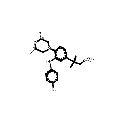 CCc1ccc(Nc2cc(C(C)(C)CC(=O)O)ccc2N2C[C@@H](C)O[C@@H](C)C2)cc1